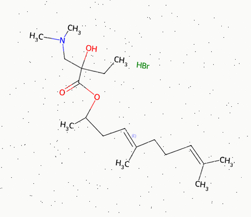 Br.CCC(O)(CN(C)C)C(=O)OC(C)C/C=C(\C)CCC=C(C)C